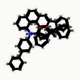 CC1(c2ccccc2)c2ccccc2-c2cc3ccc4cccc(N(c5ccc(-c6ccccc6)cc5)c5ccc(-c6ccccc6)cc5)c4c3cc21